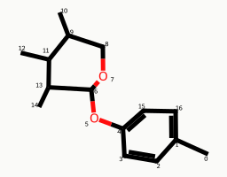 Cc1ccc(OC2OCC(C)C(C)C2C)cc1